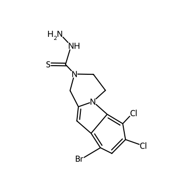 NNC(=S)N1CCn2c(cc3c(Br)cc(Cl)c(Cl)c32)C1